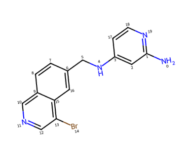 Nc1cc(NCc2ccc3cncc(Br)c3c2)ccn1